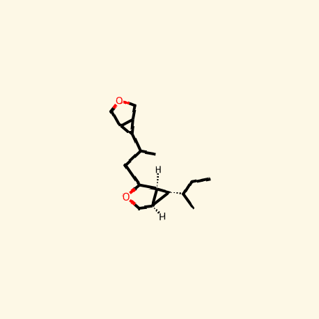 CCC(C)[C@@H]1[C@H]2COC(CC(C)C3C4COCC43)[C@H]21